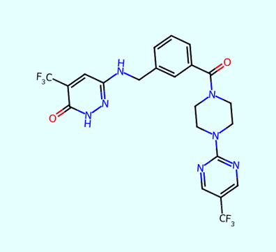 O=C(c1cccc(CNc2cc(C(F)(F)F)c(=O)[nH]n2)c1)N1CCN(c2ncc(C(F)(F)F)cn2)CC1